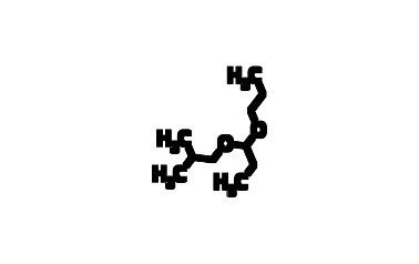 CCCOC(CC)OCC(C)C